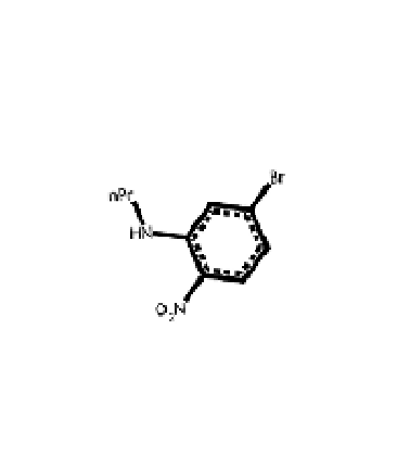 CCCNc1cc(Br)ccc1[N+](=O)[O-]